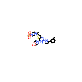 Cc1cccc(-c2ccn(-c3nc(N4CCOCC4)c4sc(C(C)N5CCN(S(C)(=O)=O)CC5)cc4n3)n2)c1